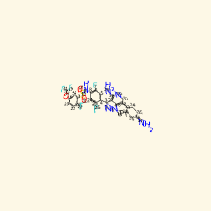 CC(C)n1nc(-c2cc(F)c(NS(=O)(=O)c3cc(OC(F)F)ccc3F)cc2F)c2c(N)ncc([C@H]3CC[C@H](N)CC3)c21